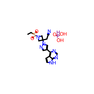 CCS(=O)(=O)N1CC(CC#N)(n2cc(-c3ncnc4[nH]ccc34)cn2)C1.O=[PH](O)O